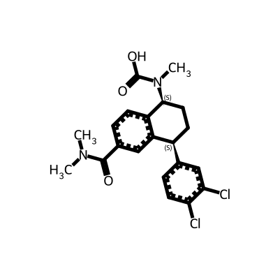 CN(C)C(=O)c1ccc2c(c1)[C@H](c1ccc(Cl)c(Cl)c1)CC[C@@H]2N(C)C(=O)O